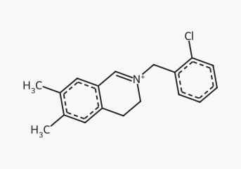 Cc1cc2c(cc1C)CC[N+](Cc1ccccc1Cl)=C2